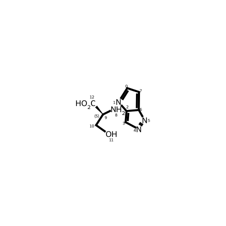 C1=NC2=CN=NC2=C1.N[C@@H](CO)C(=O)O